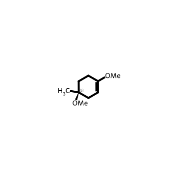 COC1=CC[C@@](C)(OC)CC1